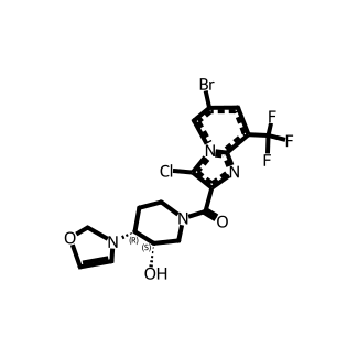 O=C(c1nc2c(C(F)(F)F)cc(Br)cn2c1Cl)N1CC[C@@H](N2C=COC2)[C@@H](O)C1